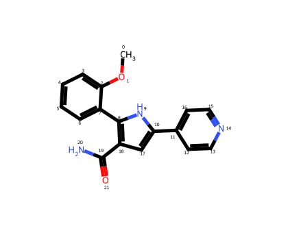 COc1ccccc1-c1[nH]c(-c2ccncc2)cc1C(N)=O